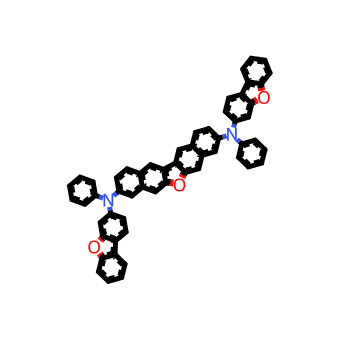 c1ccc(N(c2ccc3cc4c(cc3c2)oc2cc3cc(N(c5ccccc5)c5ccc6c(c5)oc5ccccc56)ccc3cc24)c2ccc3c(c2)oc2ccccc23)cc1